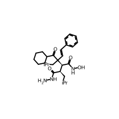 CC(C)C[C@@H](C(=O)NN)[C@H](C(=O)NO)C(/C=C/c1ccccc1)(CC(C)C)C(=O)C1CCCCC1